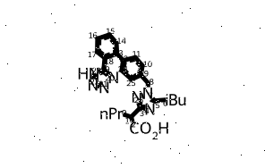 CCCC(C(=O)O)c1nc(C(C)CC)n(Cc2ccc(-c3ccccc3-c3nnn[nH]3)cc2)n1